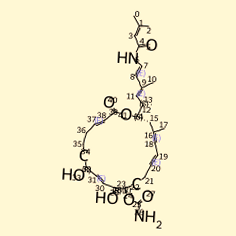 CC(C)=CC(=O)N/C=C/C(C)=C/[C@H](C)[C@@H]1C/C(C)=C/C=C/CC[C@@H](OC(N)=O)[C@H](O)/C=C/[C@H](O)CCC/C=C/C(=O)O1